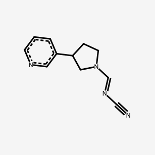 N#CN=CN1CCC(c2cccnc2)C1